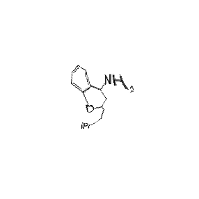 CC(C)CC1CC(N)c2ccccc2O1